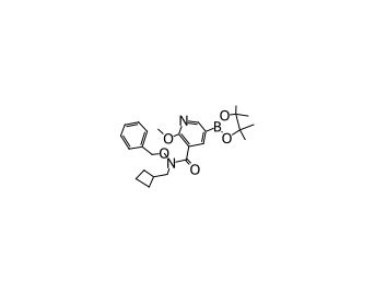 COc1ncc(B2OC(C)(C)C(C)(C)O2)cc1C(=O)N(CC1CCC1)OCc1ccccc1